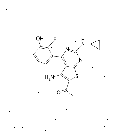 CC(=O)c1sc2nc(NC3CC3)nc(-c3cccc(O)c3F)c2c1N